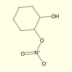 O=[N+]([O-])OC1CCCCC1O